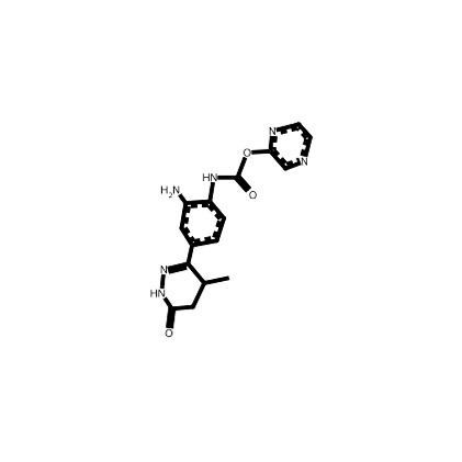 CC1CC(=O)NN=C1c1ccc(NC(=O)Oc2cnccn2)c(N)c1